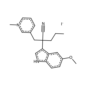 CCCC(C#N)(Cc1ccc[n+](C)c1)c1c[nH]c2ccc(OC)cc12.[I-]